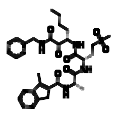 CCCC[C@H](NC(=O)[C@H](CCS(C)(=O)=O)NC(=O)[C@H](C)NC(=O)C1=C(C)c2ccccc2C1)C(=O)C(=O)NCc1ccccc1